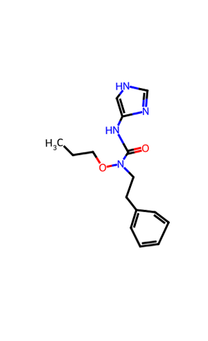 CCCON(CCc1ccccc1)C(=O)Nc1c[nH]cn1